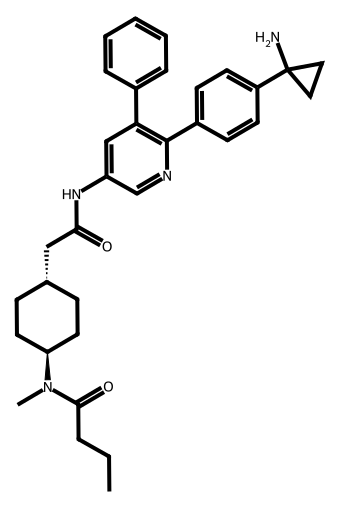 CCCC(=O)N(C)[C@H]1CC[C@H](CC(=O)Nc2cnc(-c3ccc(C4(N)CC4)cc3)c(-c3ccccc3)c2)CC1